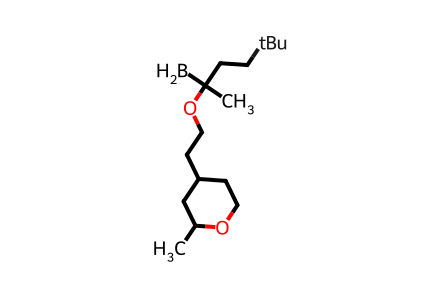 BC(C)(CCC(C)(C)C)OCCC1CCOC(C)C1